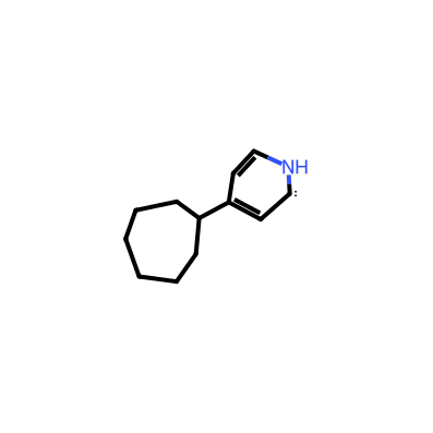 [C]1C=C(C2CCCCCC2)C=CN1